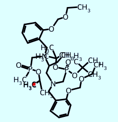 CCOCOc1ccccc1CN(CC(CC)N(Cc1ccccc1OCOCC)CP(C)(=O)OC(C)(C)C)CP(=O)(OC(C)(C)C)OC(C)(C)C